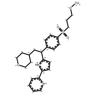 COCCCS(=O)(=O)c1ccc(C(CC2CCOCC2)c2ccc(-c3ccccn3)[nH]2)cc1